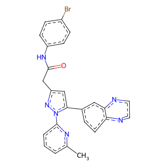 Cc1cccc(-n2nc(CC(=O)Nc3ccc(Br)cc3)cc2-c2ccc3nccnc3c2)n1